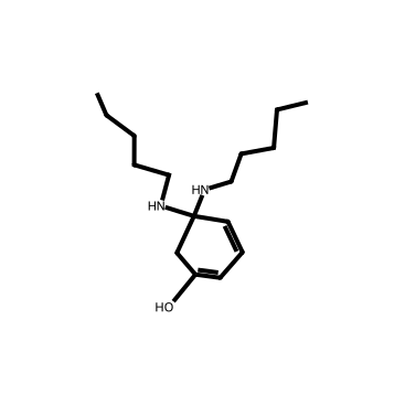 CCCCCNC1(NCCCCC)C=CC=C(O)C1